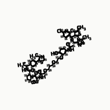 Cc1ncsc1-c1ccc([C@H](C)NC(=O)[C@@H]2CCCN2C(=O)C(NC(=O)COCCCOCCOc2cc(NC(=O)C[C@@H]3N=C(c4ccc(Cl)cc4)c4c(sc(C)c4C)-n4c(C)nnc43)ccc2O)C(C)(C)C)cc1